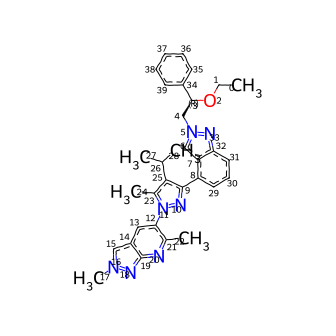 CCO[C@@H](Cn1cc2c(-c3nn(-c4cc5cn(C)nc5nc4C)c(C)c3C(C)C)cccc2n1)c1ccccc1